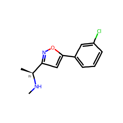 CN[C@@H](C)c1cc(-c2cccc(Cl)c2)on1